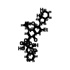 CCc1cc2c(=O)c(C(=O)OC(Cc3cccnc3)(P(=O)(O)O)P(=O)(O)O)cn(C3CC3)c2c(OC)c1N1CC2CCCN[C@H]2C1